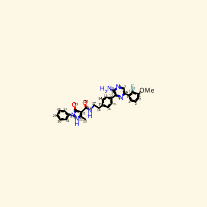 COc1cccc(-c2cnc(N)c(-c3ccc(CCNC(=O)c4c(C)[nH]n(-c5ccccc5)c4=O)cc3)n2)c1F